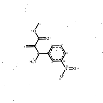 C=C(C(=O)OC)C(N)c1cccc([N+](=O)[O-])c1